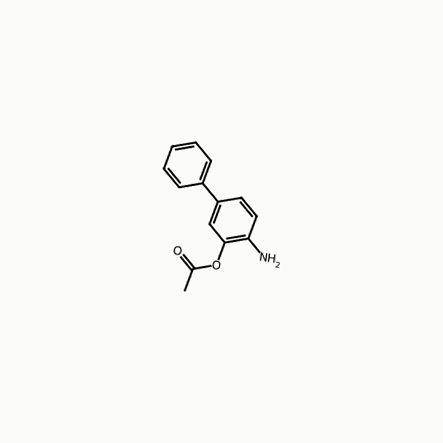 CC(=O)Oc1cc(-c2ccccc2)ccc1N